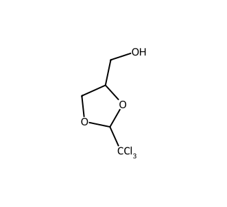 OCC1COC(C(Cl)(Cl)Cl)O1